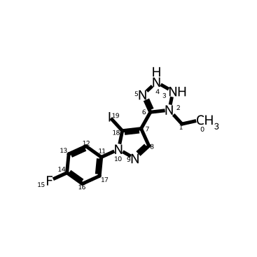 CCN1NNN=C1c1cnn(-c2ccc(F)cc2)c1I